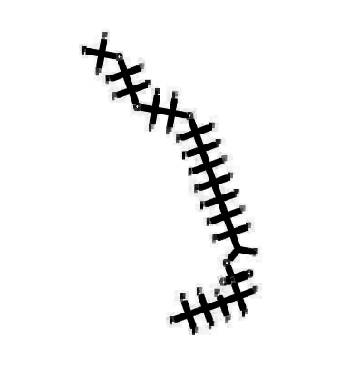 O=S(=O)(OC(F)C(F)(F)C(F)(F)C(F)(F)C(F)(F)C(F)(F)C(F)(F)C(F)(F)OC(F)(F)C(F)(F)OC(F)(F)C(F)(F)OC(F)(F)F)C(F)(F)C(F)(F)C(F)(F)C(F)(F)F